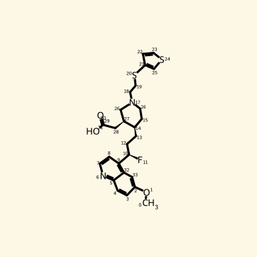 COc1ccc2nccc([C@H](F)CC[C@@H]3CCN(CCSc4ccsc4)C[C@@H]3CC(=O)O)c2c1